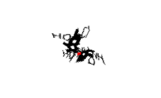 Cc1c(Cl)cc2c(c1O)C(C)C(C)C(O)(C(F)(F)F)C2Nc1cccc2c(=O)[nH]ccc12